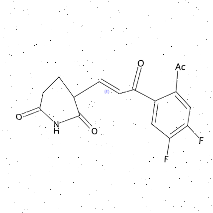 CC(=O)c1cc(F)c(F)cc1C(=O)/C=C/C1CCC(=O)NC1=O